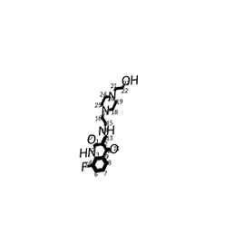 O=C1Nc2c(F)cccc2C(=O)/C1=C/NCCN1CCN(CCO)CC1